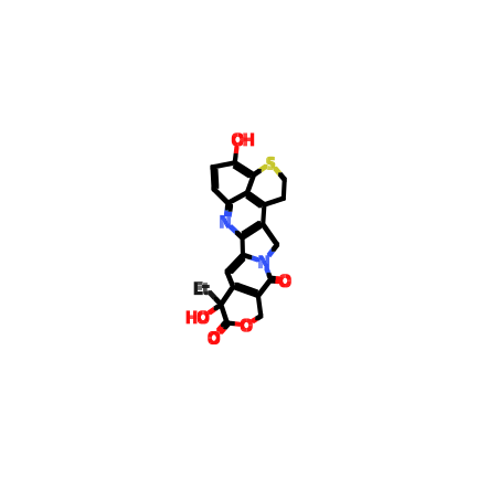 CCC1(O)C(=O)OCc2c1cc1n(c2=O)Cc2c-1nc1ccc(O)c3c1c2CCS3